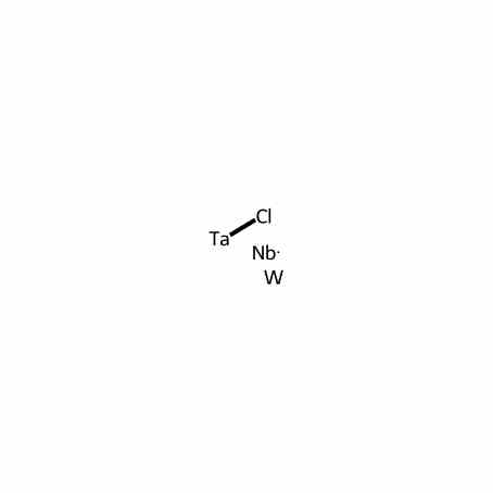 [Cl][Ta].[Nb].[W]